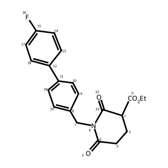 CCOC(=O)C1CCC(=O)N(Cc2ccc(-c3ccc(F)cc3)cc2)C1=O